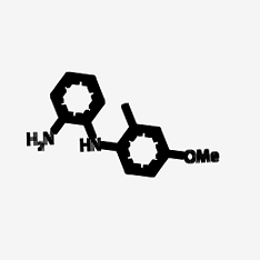 COc1ccc(Nc2ccccc2N)c(C)c1